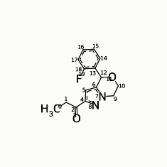 CCC(=O)c1cc2n(n1)CCOC2c1ccccc1F